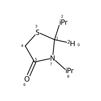 [2H]C1(C(C)C)SCC(=O)N1C(C)C